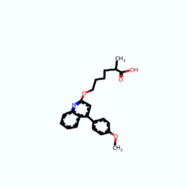 COc1ccc(-c2cc(OCCCCC(C)C(=O)O)nc3ccccc23)cc1